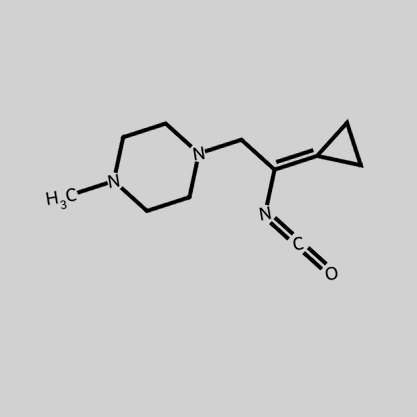 CN1CCN(CC(N=C=O)=C2CC2)CC1